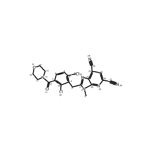 Cn1c(Cc2c(Cl)ccc(C(=O)N3CCOCC3)c2Cl)nc2c(C#N)cc(C#N)nc21